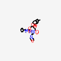 CC1CC2CCC3(OOC(CCOC(=O)N(C)Cc4ccccc4)(CCC(=O)NCCN4CCOCC4)O3)C(C1)C2